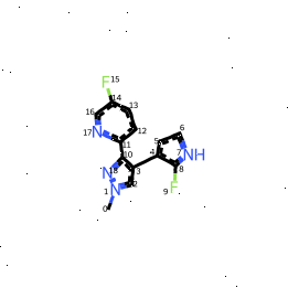 Cn1cc(-c2cc[nH]c2F)c(-c2ccc(F)cn2)n1